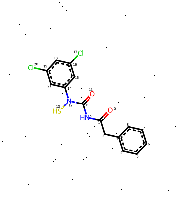 O=C(Cc1ccccc1)NC(=O)N(S)c1cc(Cl)cc(Cl)c1